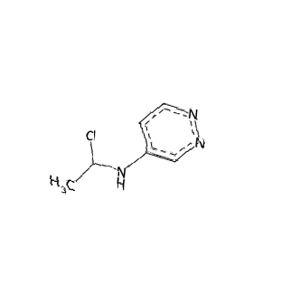 CC(Cl)Nc1ccnnc1